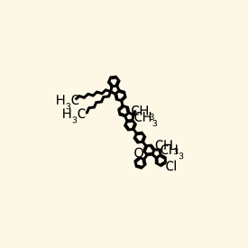 CCCCCCCCC1(CCCCCCCC)c2ccccc2-c2ccc(-c3ccc4c(c3)C(C)(C)c3cc(-c5ccc(-c6cc7c(c8c6oc6ccccc68)-c6ccc(Cl)cc6C7(C)C)cc5)ccc3-4)cc21